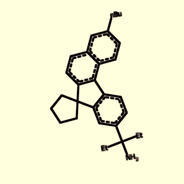 CCCCc1ccc2c3c(ccc2c1)C1(CCCC1)c1cc(C(N)(CC)CC)ccc1-3